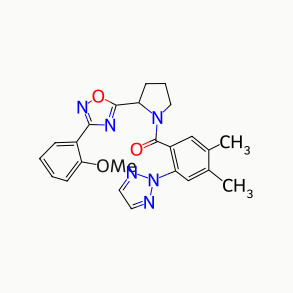 COc1ccccc1-c1noc(C2CCCN2C(=O)c2cc(C)c(C)cc2-n2nccn2)n1